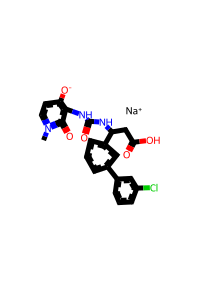 Cn1ccc([O-])c(NC(=O)NC(CC(=O)O)c2cccc(-c3cccc(Cl)c3)c2)c1=O.[Na+]